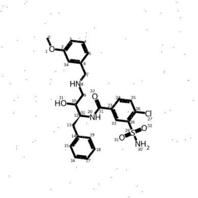 COc1cccc(CNCC(O)[C@H](Cc2ccccc2)NC(=O)c2ccc(Cl)c(S(N)(=O)=O)c2)c1